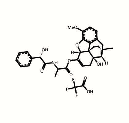 COc1ccc2c3c1O[C@H]1C(OC(=O)C(C)NC(=O)[C@@H](O)c4ccccc4)=CC[C@@]4(O)[C@@H](C2)N(C)CC[C@]314.O=C(O)C(F)(F)F